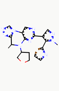 CCC1c2nncn2-c2cnc(-c3cnn(C)c3-c3nccs3)nc2N1C1CCOC1